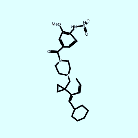 C/C=C\C(=C/C1CCCCC1)C1(CN2CCN(C(=O)c3ccc(N[SH](=O)=O)c(OC)c3)CC2)CC1